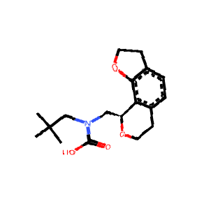 CC(C)(C)CN(C[C@@H]1OCCc2ccc3c(c21)OCC3)C(=O)O